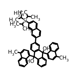 Cc1ccc(C2(O)c3ccccc3C(O)(c3ccc(C)c4ccccc34)c3cc(-c4ccc5ccc([Si](C(C)C)(C(C)C)C(C)C)cc5c4)ccc32)c2ccccc12